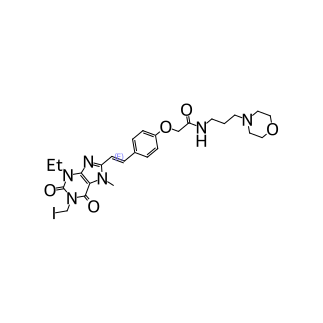 CCn1c(=O)n(CI)c(=O)c2c1nc(/C=C/c1ccc(OCC(=O)NCCCN3CCOCC3)cc1)n2C